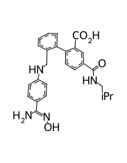 CC(C)CNC(=O)c1ccc(-c2ccccc2CNc2ccc(C(N)=NO)cc2)c(C(=O)O)c1